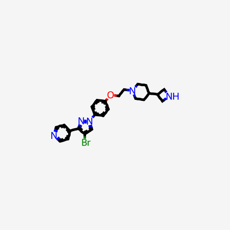 Brc1cn(-c2ccc(OCCN3CCC(C4CNC4)CC3)cc2)nc1-c1ccncc1